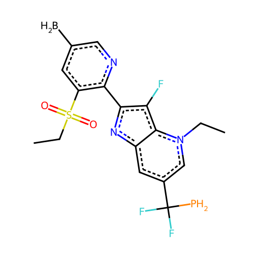 Bc1cnc(-c2nc3cc(C(F)(F)P)cn(CC)c-3c2F)c(S(=O)(=O)CC)c1